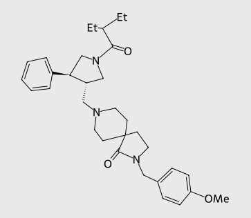 CCC(CC)C(=O)N1C[C@H](CN2CCC3(CC2)CCN(Cc2ccc(OC)cc2)C3=O)[C@@H](c2ccccc2)C1